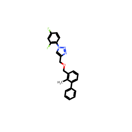 Cc1c(COCc2cn(-c3ccc(F)cc3F)nn2)cccc1-c1ccccc1